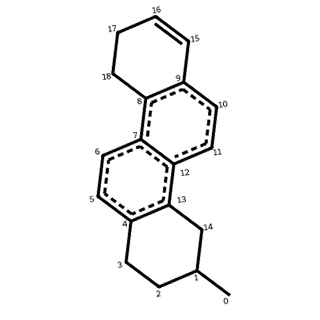 CC1CCc2ccc3c4c(ccc3c2C1)C=CCC4